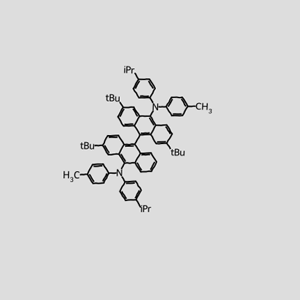 Cc1ccc(N(c2ccc(C(C)C)cc2)c2c3ccccc3c(-c3c4cc(C(C)(C)C)ccc4c(N(c4ccc(C)cc4)c4ccc(C(C)C)cc4)c4cc(C(C)(C)C)ccc34)c3ccc(C(C)(C)C)cc23)cc1